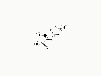 [2H]NC(Cc1cn([2H])cn1)C(=O)O